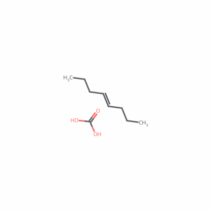 CCCC=CCCC.O=C(O)O